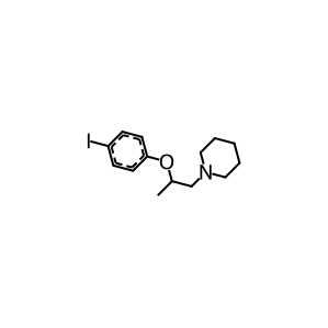 CC(CN1CCCCC1)Oc1ccc(I)cc1